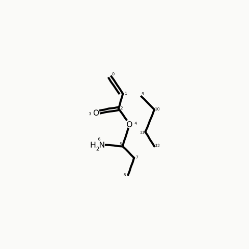 C=CC(=O)OC(N)CC.CCCC